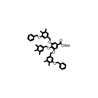 COC(=O)c1cc(OCc2cc(C)c(C)c(OCc3ccccc3)c2)c(OCc2cc(C)c(C)c(C)c2)c(OCc2cc(C)c(C)c(OCc3ccccc3)c2)c1